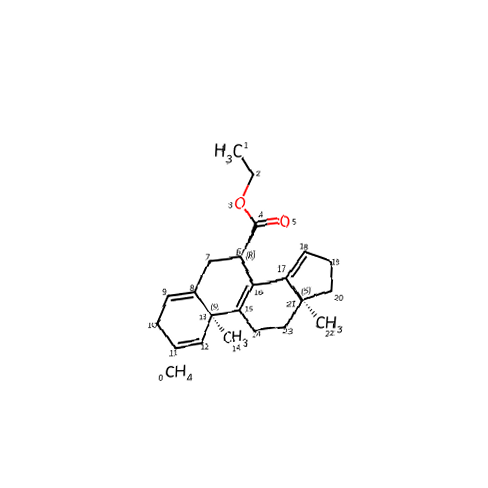 C.CCOC(=O)[C@@H]1CC2=CCC=C[C@]2(C)C2=C1C1=CCC[C@@]1(C)CC2